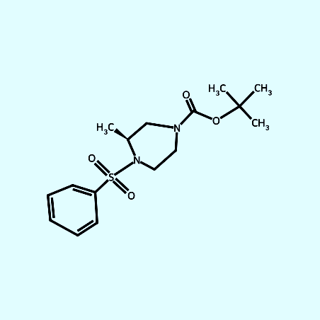 C[C@H]1CN(C(=O)OC(C)(C)C)CCN1S(=O)(=O)c1ccccc1